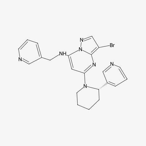 Brc1cnn2c(NCc3cccnc3)cc(N3CCCC[C@H]3c3cccnc3)nc12